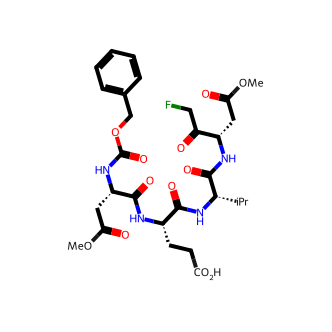 COC(=O)C[C@H](NC(=O)[C@@H](NC(=O)[C@H](CCC(=O)O)NC(=O)[C@H](CC(=O)OC)NC(=O)OCc1ccccc1)C(C)C)C(=O)CF